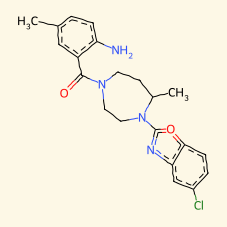 Cc1ccc(N)c(C(=O)N2CCC(C)N(c3nc4cc(Cl)ccc4o3)CC2)c1